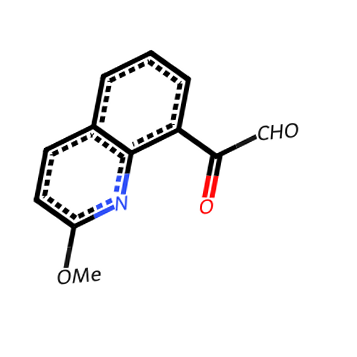 COc1ccc2cccc(C(=O)C=O)c2n1